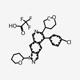 Clc1ccc(-c2c(C3CCOCC3)ncc3cc4c(cnn4C4CCCCO4)cc23)cc1.O=C(O)C(F)(F)F